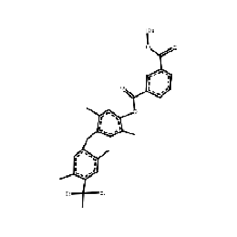 CCC(C)OC(=O)c1cccc(C(=O)Oc2cc(C)c(Cc3cc(C)c(C(C)(CC)CC)cc3C)cc2C)c1